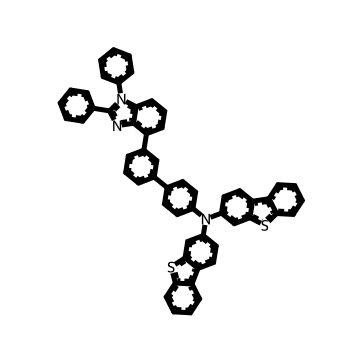 c1ccc(-c2nc3c(-c4cccc(-c5ccc(N(c6ccc7c(c6)sc6ccccc67)c6ccc7c(c6)sc6ccccc67)cc5)c4)cccc3n2-c2ccccc2)cc1